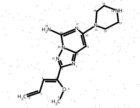 C=C/C=C(\OC)c1nc2cc(N3CCNCC3)nc(N)n2n1